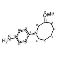 COC1CCCCCN(c2ccc(N)cc2)C1